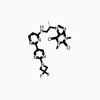 C[C@@H](CNc1ccnc(-c2cnc(N3CC(F)(F)C3)nc2)n1)n1cnc2c1c(=O)n(C)c(=O)n2C